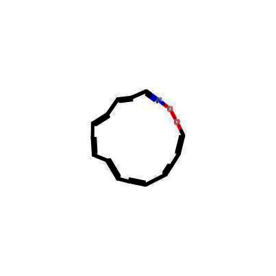 C1=C\C=C\C=C/C=C/C=C/C=N\OO\C=C\C=C/1